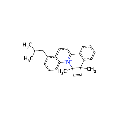 CC(C)Cc1cccc2c1ccc1[n+]2C2(C)C=CC2(C)c2ccccc2-1